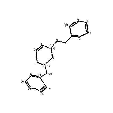 C1=C[C@@H](CCc2ccccc2)CN(Cc2ccccc2)C1